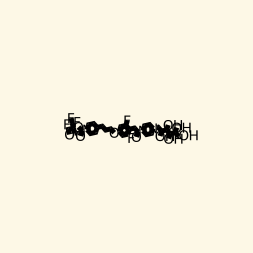 O=C(Cc1c(F)cc(OCCCC2CCN(C(=O)OC3(C(F)(F)F)COC3)CC2)cc1F)N1CCN(CC(O)C(O)C(O)C(O)CO)CC1